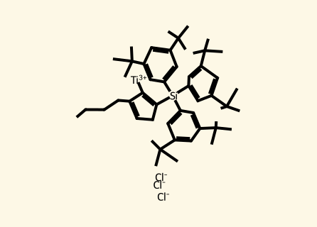 CCCCC1=CCC([Si](c2cc(C(C)(C)C)cc(C(C)(C)C)c2)(c2cc(C(C)(C)C)cc(C(C)(C)C)c2)c2cc(C(C)(C)C)cc(C(C)(C)C)c2)=[C]1[Ti+3].[Cl-].[Cl-].[Cl-]